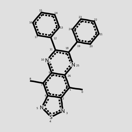 Cc1c2nsnc2c(C)c2nc(-c3ccccc3)c(-c3ccccc3)nc12